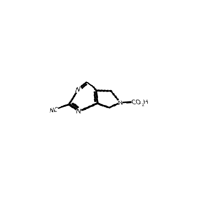 N#Cc1ncc2c(n1)CN(C(=O)O)C2